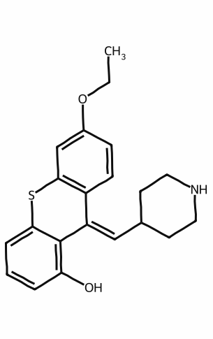 CCOc1ccc2c(c1)Sc1cccc(O)c1C2=CC1CCNCC1